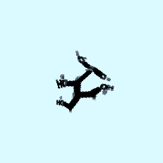 O=[N+]([O-])C(O)C(CO)CO